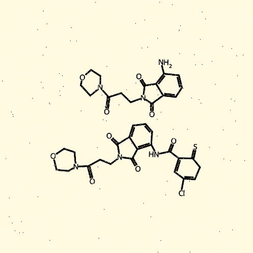 Nc1cccc2c1C(=O)N(CCC(=O)N1CCOCC1)C2=O.O=C(Nc1cccc2c1C(=O)N(CCC(=O)N1CCOCC1)C2=O)C1=CC(Cl)=CCC1=S